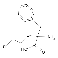 NC(Cc1ccccc1)(OCCCl)C(=O)O